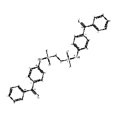 C[Si](C)(CC[Si](C)(C)Nc1ccc(C(=O)c2ccccc2)cc1)Nc1ccc(C(=O)c2ccccc2)cc1